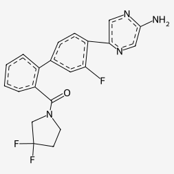 Nc1cnc(-c2ccc(-c3ccccc3C(=O)N3CCC(F)(F)C3)cc2F)cn1